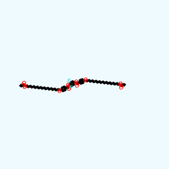 C=CC(=O)OCCCCCCCCCCCCCCCCCCCOc1ccc(C(=O)Oc2cc(F)c(OC(=O)c3ccc(OCCCCCCCCCCCCCCCCCCCOC(=O)C=C)cc3)c(F)c2)cc1